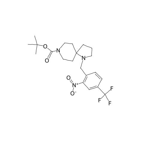 CC(C)(C)OC(=O)N1CCC2(CCCN2Cc2ccc(C(F)(F)F)cc2[N+](=O)[O-])CC1